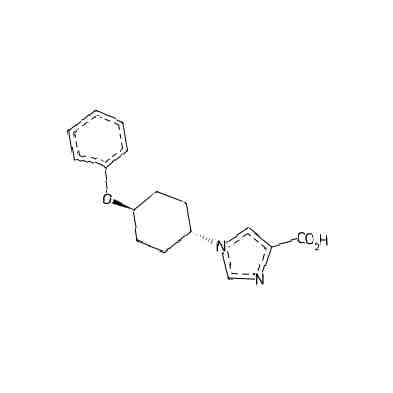 O=C(O)c1cn([C@H]2CC[C@H](Oc3ccccc3)CC2)cn1